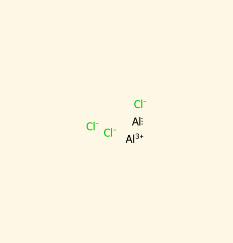 [Al+3].[Al].[Cl-].[Cl-].[Cl-]